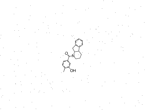 Cc1ccc(C(=O)N2CCCC3c4ccccc4CC32)cc1O